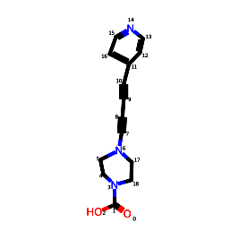 O=C(O)N1CCN(C#CC#Cc2ccncc2)CC1